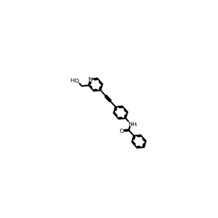 O=C(Nc1ccc(C#Cc2ccnc(CO)c2)cc1)c1ccccc1